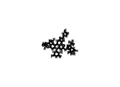 Cn1cc(-c2nc3nc(C(Cc4cc(F)cc(F)c4)NC(=O)Cn4nc(C(F)(F)F)c5c4C(F)(F)[C@@H]4CC54)c(-c4cccc5c(NS(C)(=O)=O)nn(C)c45)cc3s2)cn1